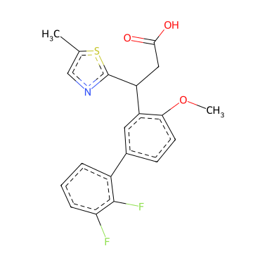 COc1ccc(-c2cccc(F)c2F)cc1C(CC(=O)O)c1ncc(C)s1